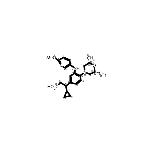 COc1ccc(Nc2cc(C(CC(=O)O)C3CC3)ccc2N2C[C@@H](C)O[C@@H](C)C2)cn1